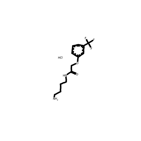 Cl.NCCCCNC(=O)COc1cccc(C(F)(F)F)c1